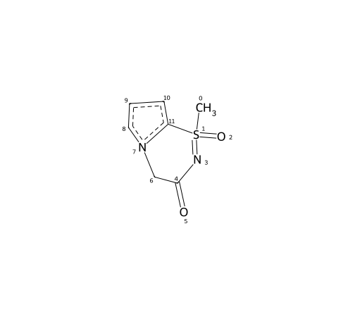 CS1(=O)=NC(=O)Cn2cccc21